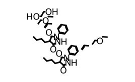 C=CC.C=CC.CCCCC1C(=O)NN(c2ccccc2)C1=O.CCCCC1C(=O)NN(c2ccccc2)C1=O.CCOCC.CCOCC.OCCO